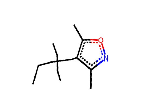 CCC(C)(C)c1c(C)noc1C